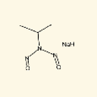 CC(C)N(N=O)N=O.[NaH]